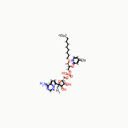 CCCCCCCCCCCCCCCCCCOC[C@H](COP(=O)(O)OC[C@H]1O[C@@](C)(c2ccc3c(N)ncnn23)[C@H](O)[C@@H]1O)Oc1cc(C#N)ccn1